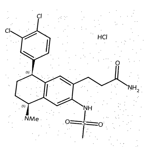 CN[C@H]1CC[C@@H](c2ccc(Cl)c(Cl)c2)c2cc(CCC(N)=O)c(NS(C)(=O)=O)cc21.Cl